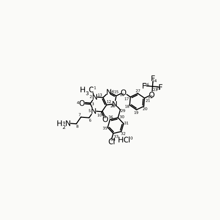 Cl.Cn1c(=O)n(CCCN)c(=O)c2c1nc(Oc1cccc(OC(F)(F)F)c1)n2Cc1ccc(Cl)cc1